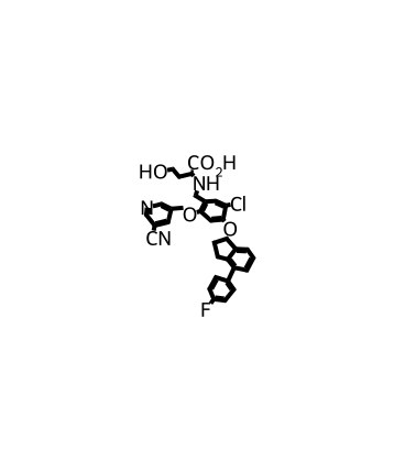 N#Cc1cncc(COc2cc(O[C@H]3CCc4c(-c5ccc(F)cc5)cccc43)c(Cl)cc2CN[C@@H](CCO)C(=O)O)c1